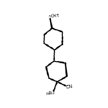 CCCCCCCCC1CCC(C2CCC(C#N)(CCCC)CC2)CC1